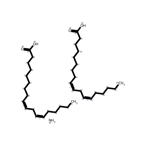 CCCCC/C=C\C/C=C\CCCCCCCC(=O)O.CCCCC/C=C\C/C=C\CCCCCCCC(=O)O.N